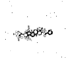 CC(=O)O[C@@H]([C@H]1C[C@@H](C)[C@H]2[C@H](O1)[C@H](O)[C@@]1(C)[C@@H]3CC[C@H]4C(C)(C)[C@@H](OC(=O)c5cccnc5)CC[C@@]45C[C@@]35CC[C@]21C)C(C)(C)O